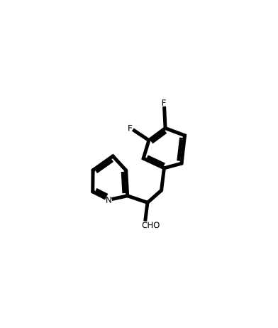 O=CC(Cc1ccc(F)c(F)c1)c1ccccn1